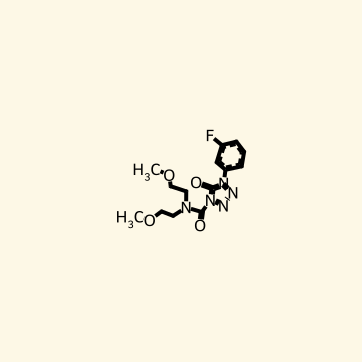 COCCN(CCOC)C(=O)n1nnn(-c2cccc(F)c2)c1=O